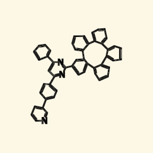 c1ccc(-c2cc(-c3ccc(-c4cccnc4)cc3)nc(-c3ccc4c5ccccc5c5ccccc5c5ccccc5c5ccccc5c4c3)n2)cc1